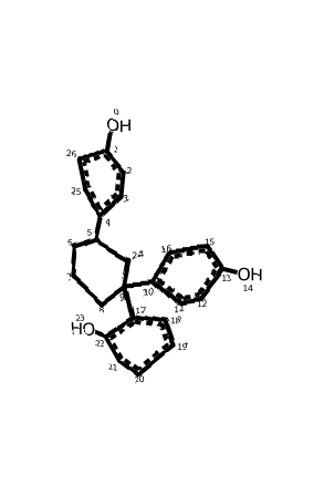 Oc1ccc(C2CCCC(c3ccc(O)cc3)(c3ccccc3O)C2)cc1